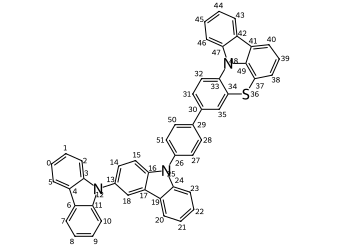 c1ccc2c(c1)c1ccccc1n2-c1ccc2c(c1)c1ccccc1n2-c1ccc(-c2ccc3c(c2)Sc2cccc4c5ccccc5n-3c24)cc1